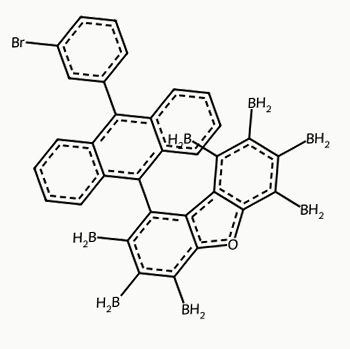 Bc1c(B)c(B)c2c(oc3c(B)c(B)c(B)c(-c4c5ccccc5c(-c5cccc(Br)c5)c5ccccc45)c32)c1B